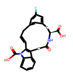 O=C1Cc2c(n(C(=O)O)c3ccccc23)/C=C/Cc2cc(F)cc(c2)C[C@@H](C(=O)O)N1